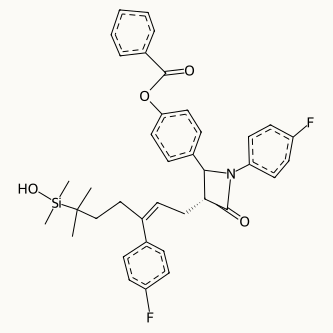 CC(C)(CC/C(=C/C[C@H]1C(=O)N(c2ccc(F)cc2)C1c1ccc(OC(=O)c2ccccc2)cc1)c1ccc(F)cc1)[Si](C)(C)O